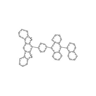 c1ccc2c(-c3c4ccccc4c(-c4ccc(-c5c6sc7ccccc7c6cc6c5sc5ccccc56)cc4)c4ccccc34)cccc2c1